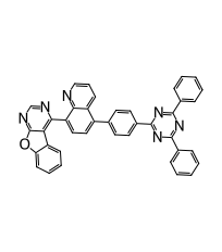 c1ccc(-c2nc(-c3ccccc3)nc(-c3ccc(-c4ccc(-c5ncnc6oc7ccccc7c56)c5ncccc45)cc3)n2)cc1